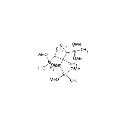 CO[Si](C)(OC)C(C)C([SiH3])(C(C)[Si](C)(OC)OC)C(C)[Si](C)(OC)OC